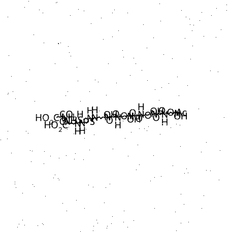 CC(=O)N(O)CCOCCNC(=O)CCC(=O)N(O)CCOCCNC(=O)CCC(=O)N(O)CCOCCNC(=O)CCC(=O)N(O)CCCCCNC(=S)Nc1ccc(NC(=S)NCCCCC(NC(=O)NC(CCC(=O)O)C(=O)O)C(=O)O)cc1